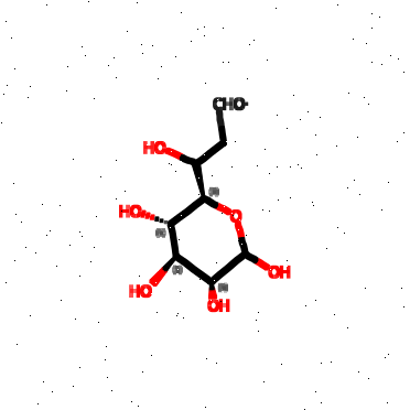 O=[C]CC(O)[C@H]1OC(O)[C@@H](O)[C@@H](O)[C@@H]1O